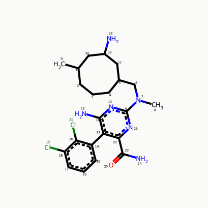 CC1CCCC(CN(C)c2nc(N)c(-c3cccc(Cl)c3Cl)c(C(N)=O)n2)CC(N)C1